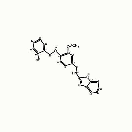 COc1cc(CNc2nc3ccccc3o2)ccc1OCc1ccccc1F